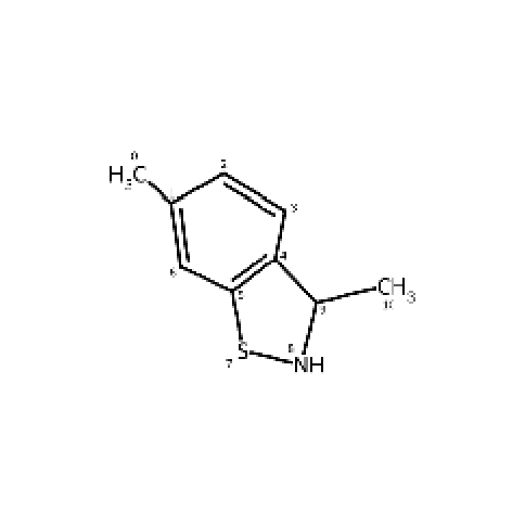 Cc1ccc2c(c1)SNC2C